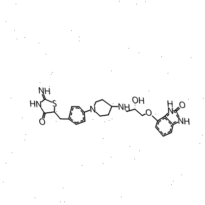 N=C1NC(=O)C(Cc2ccc(N3CCC(NC[C@H](O)COc4cccc5[nH]c(=O)[nH]c45)CC3)cc2)S1